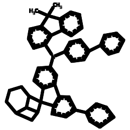 CC1(C)c2ccccc2-c2c(N(c3ccc(-c4ccccc4)cc3)c3ccc4c(c3)-c3cc(-c5ccccc5)ccc3C43C4CCCC5CC3C54)cccc21